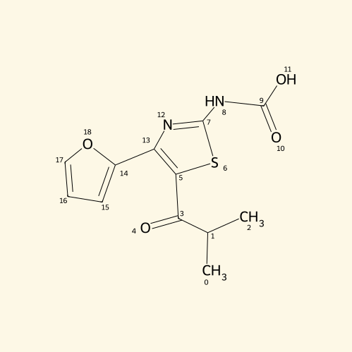 CC(C)C(=O)c1sc(NC(=O)O)nc1-c1ccco1